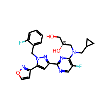 OC[C@@H](O)CN(CC1CC1)c1nc(-c2cc(-c3ccon3)n(Cc3ccccc3F)n2)ncc1F